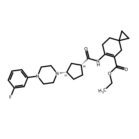 CCOC(=O)C1=C(NC(=O)[C@@H]2CC[C@H](N3CCN(c4cccc(F)c4)CC3)C2)CCC2(CC2)C1